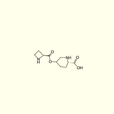 O=C(O)[C@@H]1CCC(OC(=O)[C@@H]2CCN2)CN1